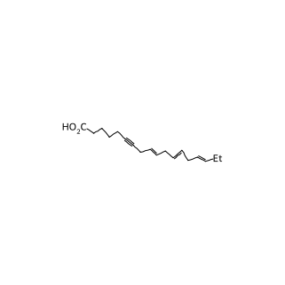 CCC=CCC=CCC=CCC#CCCCCC(=O)O